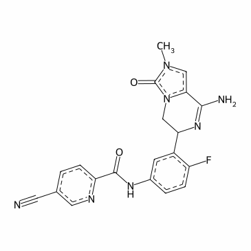 Cn1cc2n(c1=O)CC(c1cc(NC(=O)c3ccc(C#N)cn3)ccc1F)N=C2N